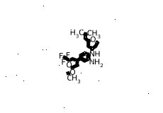 CCOC(=O)CC(CCC(F)(F)F)c1ccc(NC2CCOC(CC(C)C)C2)c(N)c1